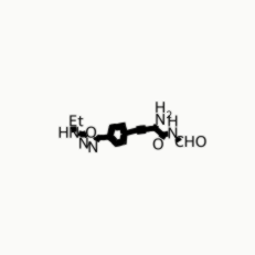 CCNc1nnc(-c2ccc(C#CC(N)C(=O)NC=O)cc2)o1